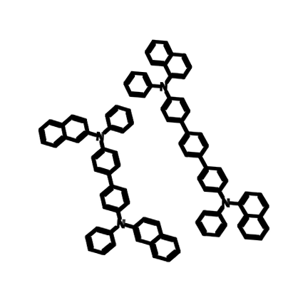 c1ccc(N(c2ccc(-c3ccc(-c4ccc(N(c5ccccc5)c5cccc6ccccc56)cc4)cc3)cc2)c2cccc3ccccc23)cc1.c1ccc(N(c2ccc(-c3ccc(N(c4ccccc4)c4ccc5ccccc5c4)cc3)cc2)c2ccc3ccccc3c2)cc1